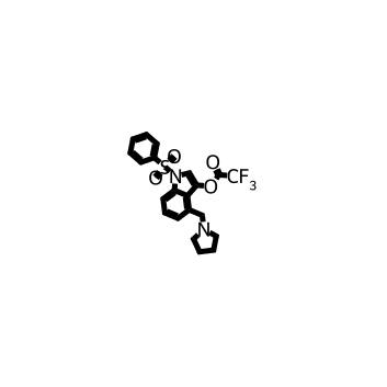 O=C(Oc1cn(S(=O)(=O)c2ccccc2)c2cccc(CN3CCCC3)c12)C(F)(F)F